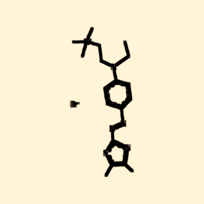 CCN(CC[N+](C)(C)C)c1ccc(N=Nc2nc(C)c(C)s2)cc1.[Br-]